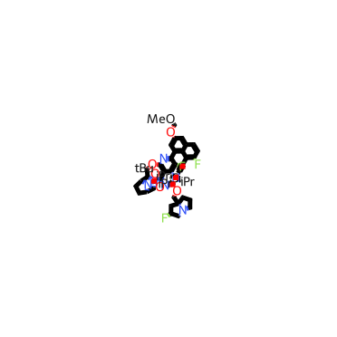 COCOc1cc(-c2nc3c4c(nc(OCC56CCCN5CC(F)C6)nc4c2F)N2CC4CCC(C2CO3)N4C(=O)OC(C)(C)C)c2c(C#C[Si](C(C)C)(C(C)C)C(C)C)c(F)ccc2c1